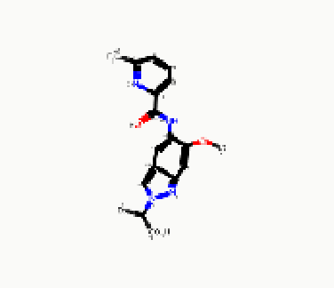 CCOc1cc2nn(C(CC)C(=O)O)cc2cc1NC(=O)c1cccc(C(F)(F)F)n1